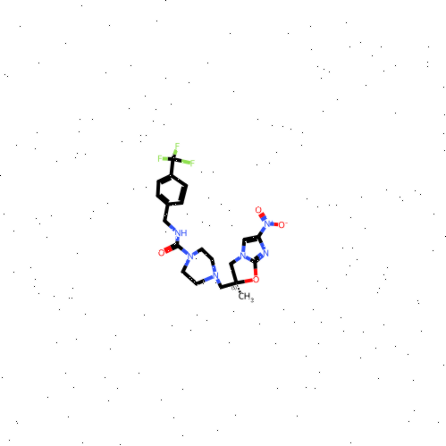 C[C@]1(CN2CCN(C(=O)NCc3ccc(C(F)(F)F)cc3)CC2)Cn2cc([N+](=O)[O-])nc2O1